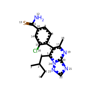 CCC(C)Cc1c(-c2ccc(C(N)=S)cc2Cl)c(C)nc2ncnn12